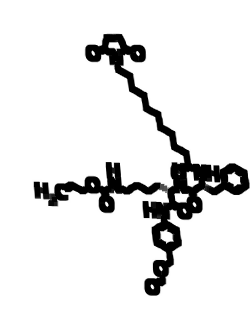 C=CCOC(=O)NCCCC[C@H](NC(=O)[C@H](Cc1ccccc1)NC(=O)CCCCCCCCCCN1C(=O)C=CC1=O)C(=O)Nc1ccc(COC=O)cc1